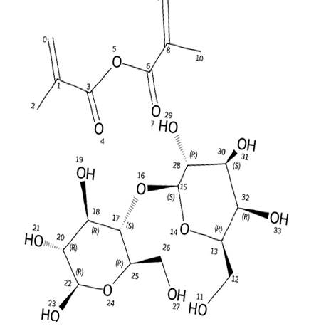 C=C(C)C(=O)OC(=O)C(=C)C.OC[C@H]1O[C@@H](O[C@H]2[C@H](O)[C@@H](O)[C@H](O)O[C@@H]2CO)[C@H](O)[C@@H](O)[C@H]1O